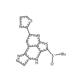 CCCC[S+]([O-])c1sc2nc(-c3nccs3)cc3c2c1[nH]n1cnnc31